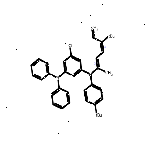 C=C/C(=C\C=C(/C)N(c1ccc(C(C)(C)C)cc1)c1cc(Cl)cc(N(c2ccccc2)c2ccccc2)c1)C(C)(C)C